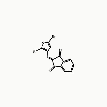 O=C1C(=Cc2cc(Br)sc2Br)C(=O)c2ccccc21